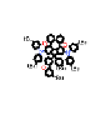 CC(C)(C)c1ccc(N(c2ccc(C(C)(C)C)cc2)c2cc3c(c4c2oc2ccccc24)-c2c(cc(N(c4ccc(C(C)(C)C)cc4)c4ccc(C(C)(C)C)cc4)c4oc5ccccc5c24)C3(c2ccc(C(C)(C)C)cc2)c2ccc3oc4ccc(C(C)(C)C)cc4c3c2)cc1